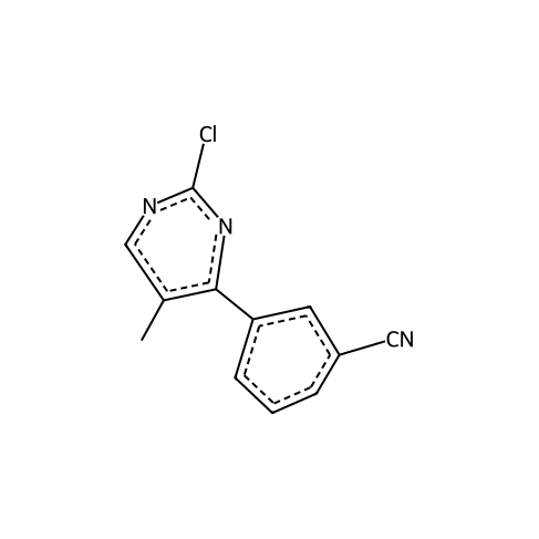 Cc1cnc(Cl)nc1-c1cccc(C#N)c1